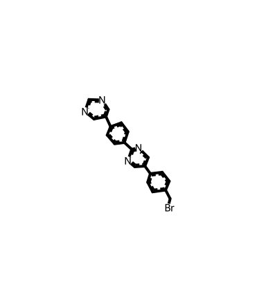 BrCc1ccc(-c2cnc(-c3ccc(-c4cncnc4)cc3)nc2)cc1